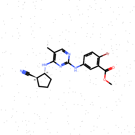 COC(=O)c1cc(Nc2ncc(C)c(N[C@@H]3CCC[C@H]3C#N)n2)ccc1Br